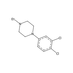 CCN1CCN(c2ccc(Cl)c(Cl)c2)CC1